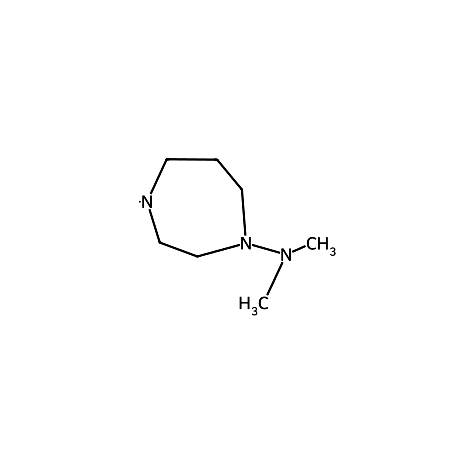 CN(C)N1CCC[N]CC1